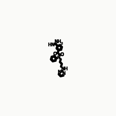 N=C(N)c1cccc(C2Oc3ccccc3N(CCCCNc3ncccn3)C2=O)c1